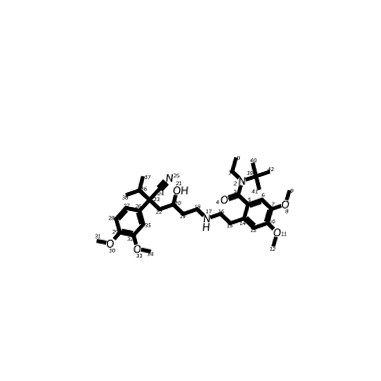 CCN(C(=O)c1cc(OC)c(OC)cc1CCNCCC(O)CC(C#N)(c1ccc(OC)c(OC)c1)C(C)C)C(C)(C)C